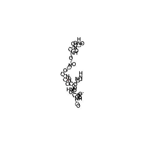 O=C1CCC(N2C(=O)c3cccc(NCCOCCC(=O)N4CCC(COc5cccc(-c6ccc(Cl)cc6)c5CN5CCN(c6ccc(C(=O)NS(=O)(=O)c7ccc(NCC8CCOCC8)c([N+](=O)[O-])c7)c(Oc7cnc8[nH]ccc8c7)c6)CC5)CC4)c3C2=O)C(=O)N1